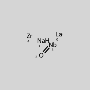 [La].[NaH].[O]=[Nb].[Zr]